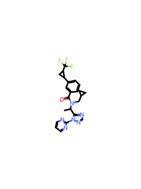 CC(c1ncnn1-c1ncccn1)N(CC1CC1)C(=O)c1cccc(C2CC2C(F)(F)F)c1